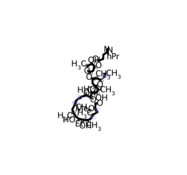 C/C=C/[C@H]1O[C@@](O)([C@@H](C)[C@H](O)[C@H](C)[C@H]2OC(=O)/C(OC)=C/C(C)=C/[C@@H](C)[C@@H](O)[C@@H](CC)[C@@H](O)[C@H](C)C/C(C)=C/C=C/[C@@H]2O)C[C@@H](O[C@@H]2C[C@H](OC(=O)CCC3(CCC)N=N3)[C@@H](O)[C@H](C)O2)[C@@H]1C